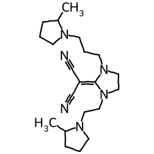 CC1CCCN1CCCN1CCN(CCN2CCCC2C)C1=C(C#N)C#N